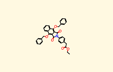 CCOC(=O)Cc1ccc(N2C(=O)c3c(c(OCc4ccccc4)c4ccccc4c3OCc3ccccc3)C2=O)cc1